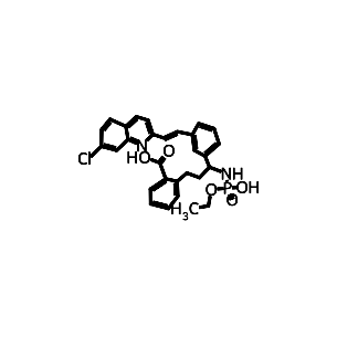 CCOP(=O)(O)NC(CCc1ccccc1C(=O)O)c1cccc(/C=C/c2ccc3ccc(Cl)cc3n2)c1